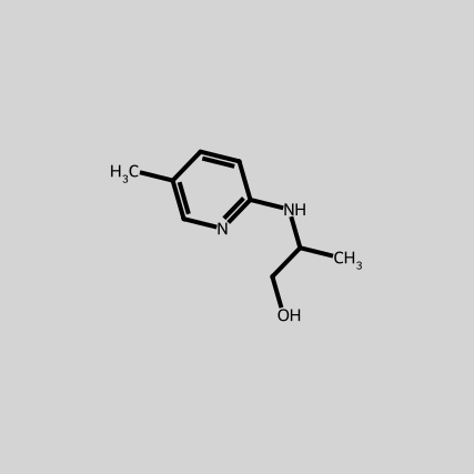 Cc1ccc(NC(C)CO)nc1